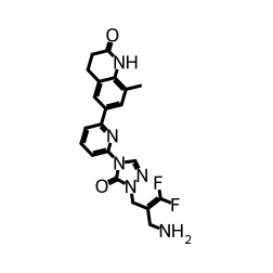 Cc1cc(-c2cccc(-n3cnn(CC(CN)=C(F)F)c3=O)n2)cc2c1NC(=O)CC2